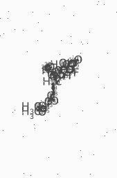 C[C@@H]1C[C@H]2[C@@H]3C[C@H](F)C4=CC(=O)C=C[C@]4(C)[C@@]3(F)[C@@H](O)C[C@]2(C)[C@@]1(OC(=O)c1ccco1)C(=O)SCC#CCOC(=O)OC[C@@H]1COC(C)(C)O1